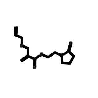 C=CCOCC(=C)C(=O)OCCN1CCCC1=O